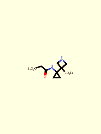 CCOC(=O)CC(=O)NC1(C2(C(=O)OCC)CNC2)CC1